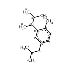 Cc1ccc(CC(C)C)cc1N(C)C(C)C